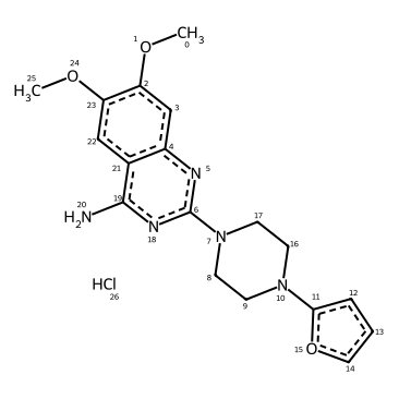 COc1cc2nc(N3CCN(c4ccco4)CC3)nc(N)c2cc1OC.Cl